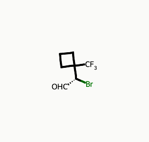 O=C[C@@H](Br)C1(C(F)(F)F)CCC1